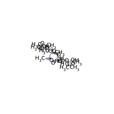 CC/C=C/[C@H]1CCC[C@H](OC2CCC([N+](C)(C)COC(=O)C(C)(C)C)C(C)O2)[C@@H](C)C(=O)C2=C[C@H]3[C@@H]4C[C@H](OC5OC(C)C(C)C(OC)C5CO)C[C@H]4C=C[C@H]3C2CC(=O)O1